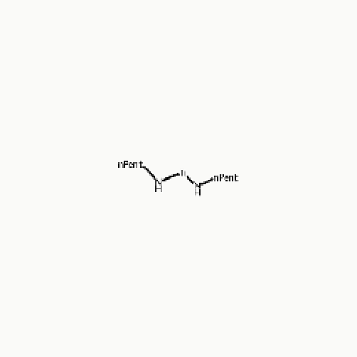 CCCCC[NH][Ti][NH]CCCCC